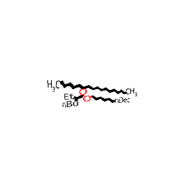 CCCCCCCCCCCCCCCCCC.CCCCCCCCCCCCCCCCOC(=O)C(CC)CCCC